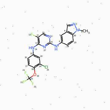 Cn1ncc2cc(Nc3ncc(F)c(Nc4ccc(OC(F)(F)F)c(Cl)c4)n3)ccc21